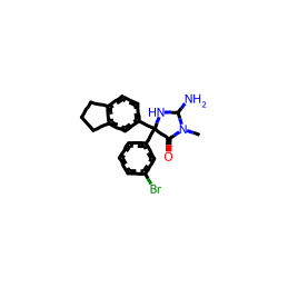 CN1C(=O)C(c2cccc(Br)c2)(c2ccc3c(c2)CCC3)NC1N